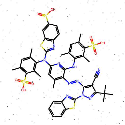 Cc1cc(N(c2nc3ccc(S(=O)O)cc3s2)c2c(C)cc(C)c(S(=O)(=O)O)c2C)nc(Nc2c(C)cc(C)c(S(=O)(=O)O)c2C)c1/N=N/c1c(C#N)c(C(C)(C)C)nn1-c1nc2ccccc2s1